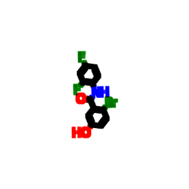 O=C(Nc1ccc(F)cc1F)c1cc(O)ccc1Br